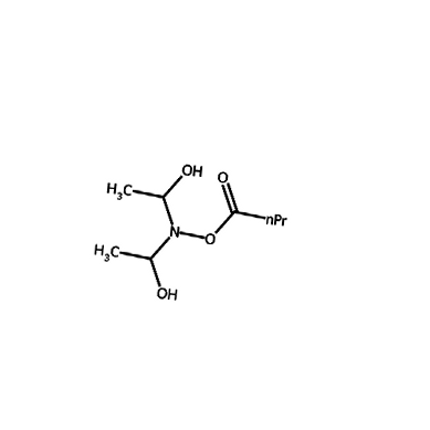 CCCC(=O)ON(C(C)O)C(C)O